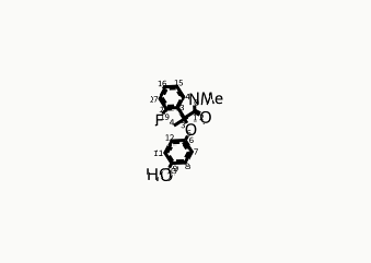 CNC(=O)C(C)(Oc1ccc(O)cc1)c1ccccc1F